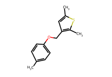 Cc1ccc(OCc2cc(C)sc2C)cc1